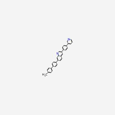 Cc1ccc(-c2ccc(-c3ccc4cc(-c5ccc(-c6cccnc6)cc5)cnc4c3)cc2)cc1